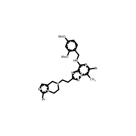 COc1ccc(CNc2nc(Br)c(C)n3nc(CCN4CCn5c(cnc5C(C)C)C4)nc23)c(OC)c1